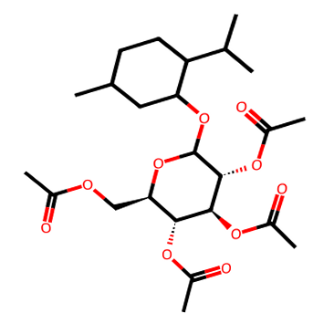 CC(=O)OC[C@H]1OC(OC2CC(C)CCC2C(C)C)[C@H](OC(C)=O)[C@@H](OC(C)=O)[C@@H]1OC(C)=O